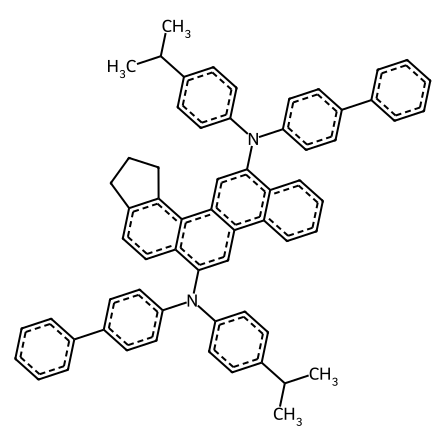 CC(C)c1ccc(N(c2ccc(-c3ccccc3)cc2)c2cc3c(cc(N(c4ccc(-c5ccccc5)cc4)c4ccc(C(C)C)cc4)c4ccc5c(c43)CCC5)c3ccccc23)cc1